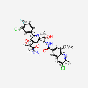 COc1cc(C(=O)NCC(O)(c2cc3c(c(-c4ccc(F)c(Cl)c4)n2)OC[C@]3(C)C(N)=O)C(F)(F)F)cc2cc(Cl)c(C)nc12